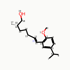 COc1ccc(C(C)C)cc1/C=C/CCC[C@H](C)CO